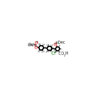 CCCCCCCCCCOc1ccc(C(=O)O)c(Cl)c1-c1ccc(-c2ccc(OC(=O)[C@@H](C)CC)cc2)cc1